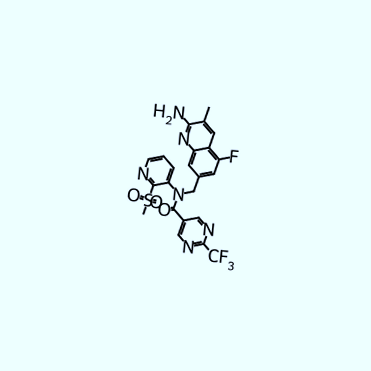 Cc1cc2c(F)cc(CN(C(=O)c3cnc(C(F)(F)F)nc3)c3cccnc3S(C)(=O)=O)cc2nc1N